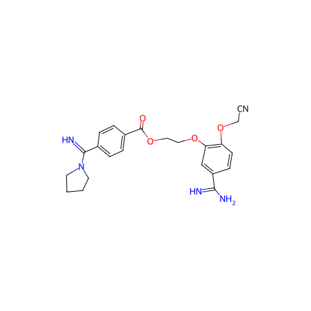 N#CCOc1ccc(C(=N)N)cc1OCCOC(=O)c1ccc(C(=N)N2CCCC2)cc1